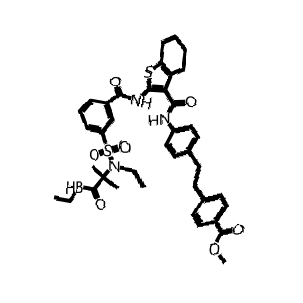 CCBC(=O)C(C)(C)N(CC)S(=O)(=O)c1cccc(C(=O)Nc2sc3c(c2C(=O)Nc2ccc(CCc4ccc(C(=O)OC)cc4)cc2)CCCC3)c1